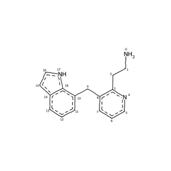 NCCc1ncccc1Cc1cccc2cc[nH]c12